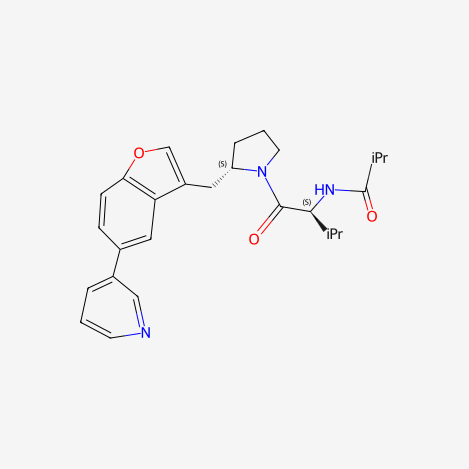 CC(C)C(=O)N[C@H](C(=O)N1CCC[C@H]1Cc1coc2ccc(-c3cccnc3)cc12)C(C)C